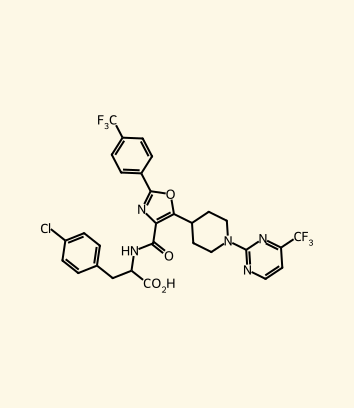 O=C(NC(Cc1ccc(Cl)cc1)C(=O)O)c1nc(-c2ccc(C(F)(F)F)cc2)oc1C1CCN(c2nccc(C(F)(F)F)n2)CC1